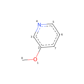 COc1[c]nccc1